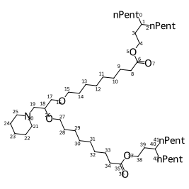 CCCCCC(CCCCC)CCOC(=O)CCCCCCCCOCC(CN1CCCCC1)OCCCCCCCCC(=O)OCCC(CCCCC)CCCCC